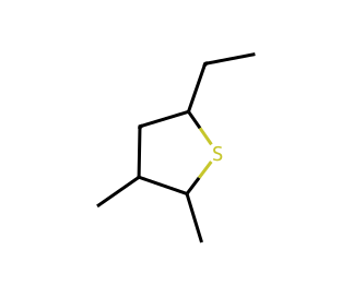 CCC1CC(C)C(C)S1